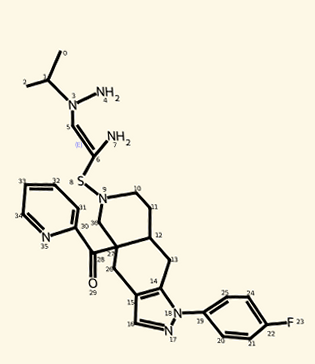 CC(C)N(N)/C=C(\N)SN1CCC2Cc3c(cnn3-c3ccc(F)cc3)CC2(C(=O)c2ccccn2)C1